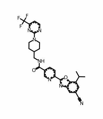 CC(C)c1cc(C#N)cc2nc(-c3ccc(C(=O)NCC4CCN(c5nccc(C(F)(F)F)n5)CC4)cn3)oc12